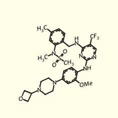 COc1cc(N2CCN(C3COC3)CC2)ccc1Nc1ncc(C(F)(F)F)c(NCc2ccc(C)cc2N(C)S(C)(=O)=O)n1